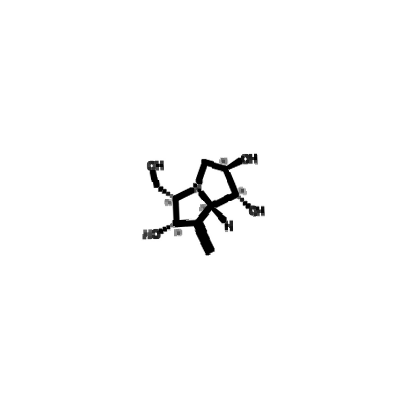 C=C1[C@H](O)[C@H](CO)N2C[C@@H](O)[C@H](O)[C@H]12